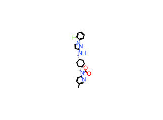 Cc1ccc(N2C[C@]3(CC[C@@H](CNc4ccn(-c5ccccc5F)n4)CC3)OC2=O)nc1